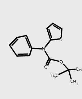 CC(C)(C)OC(=O)N(c1ccccc1)c1cccs1